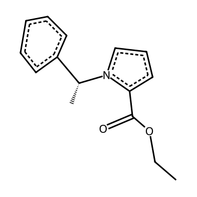 CCOC(=O)c1cccn1[C@H](C)c1ccccc1